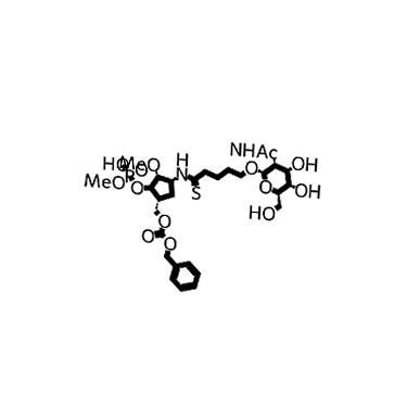 CO[C@H]1C(OP(=O)(O)OC)[C@@H](COC(=O)OCc2ccccc2)C[C@@H]1NC(=S)CCCCO[C@@H]1O[C@H](CO)[C@H](O)[C@H](O)[C@H]1NC(C)=O